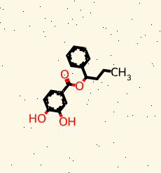 CCCC(OC(=O)c1ccc(O)c(O)c1)c1ccccc1